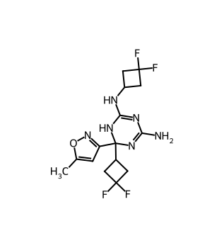 Cc1cc(C2(C3CC(F)(F)C3)N=C(N)N=C(NC3CC(F)(F)C3)N2)no1